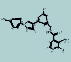 O=C(NCc1cc(F)cc(-c2cnn(-c3ccc(F)cc3)c2)c1)c1ccnc(Cl)c1[N+](=O)[O-]